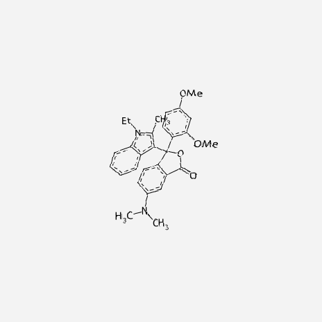 CCn1c(C)c(C2(c3ccc(OC)cc3OC)OC(=O)c3cc(N(C)C)ccc32)c2ccccc21